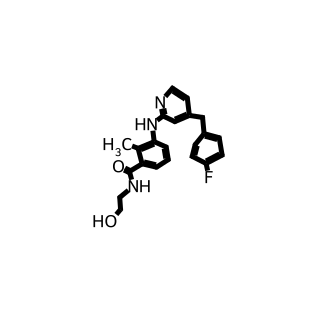 Cc1c(Nc2cc(Cc3ccc(F)cc3)ccn2)cccc1C(=O)NCCO